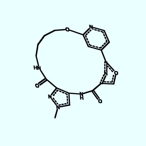 Cn1cc2c(n1)C(=O)NCCCCOc1cc(ccn1)-c1nc(co1)C(=O)N2